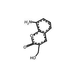 Nc1cccc2cc(CO)c(=O)oc12